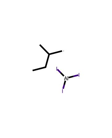 [CH2]C(C)CC.[I][Al]([I])[I]